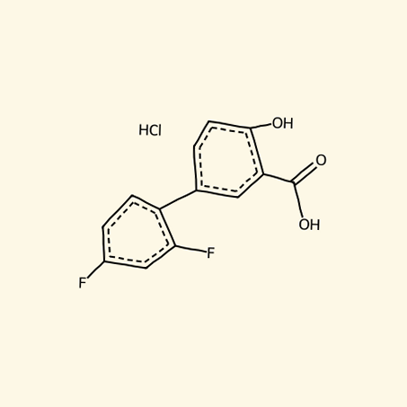 Cl.O=C(O)c1cc(-c2ccc(F)cc2F)ccc1O